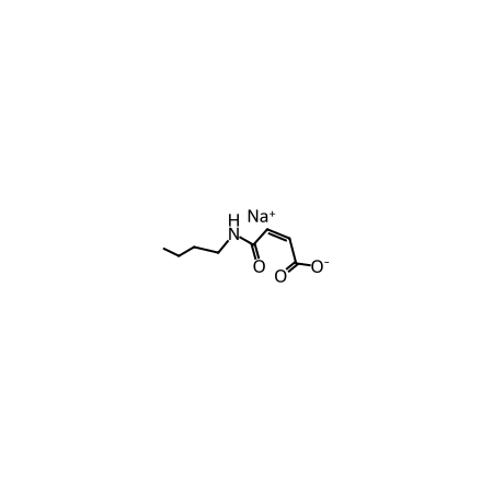 CCCCNC(=O)/C=C\C(=O)[O-].[Na+]